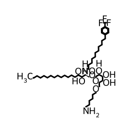 CCCCCCCCCCCCCC[C@@H](O)[C@@H](O)[C@H](COC1OC(COCCCCCCN)C(O)C(O)C1O)NC(=O)CCCCCCCCCCc1ccc(C(F)(F)F)cc1